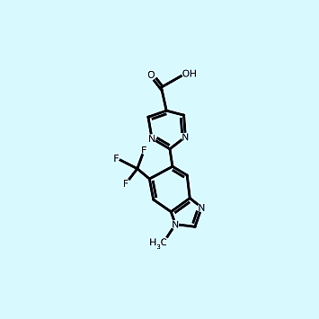 Cn1cnc2cc(-c3ncc(C(=O)O)cn3)c(C(F)(F)F)cc21